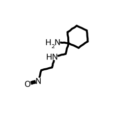 NC1(CNCCN=O)CCCCC1